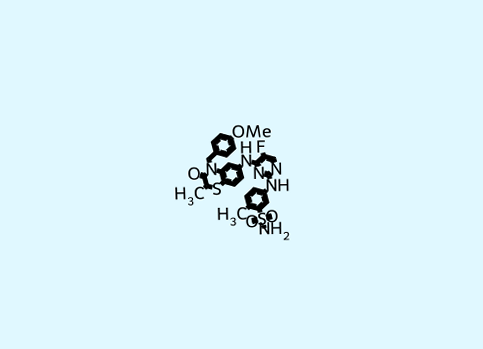 COc1ccc(CN2C(=O)C(C)Sc3ccc(Nc4nc(Nc5ccc(C)c(S(N)(=O)=O)c5)ncc4F)cc32)cc1